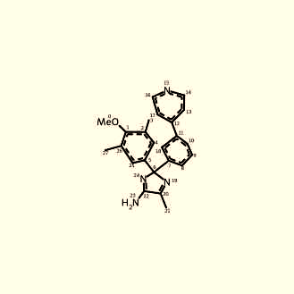 COc1c(C)cc(C2(c3cccc(-c4ccncc4)c3)N=C(C)C(N)=N2)cc1C